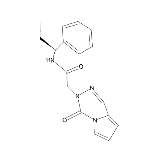 CC[C@H](NC(=O)Cn1ncc2cccn2c1=O)c1ccccc1